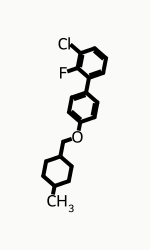 CC1CCC(COc2ccc(-c3cccc(Cl)c3F)cc2)CC1